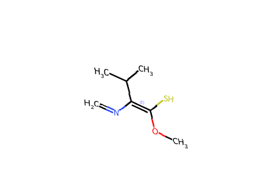 C=N/C(=C(/S)OC)C(C)C